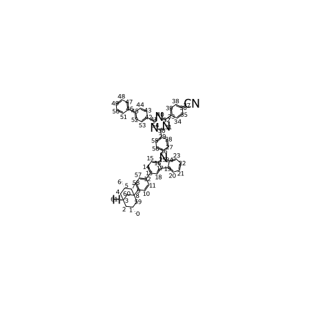 C[C@@H]1C[C@@H]2C[C@H](C)CC(c3ccc(-c4ccc5c(c4)c4ccccc4n5-c4ccc(-c5nc(-c6ccc(C#N)cc6)nc(-c6ccc(-c7ccccc7)cc6)n5)cc4)cc3)(C1)C2